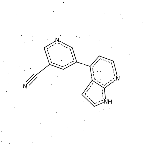 N#Cc1cncc(-c2ccnc3[nH]ccc23)c1